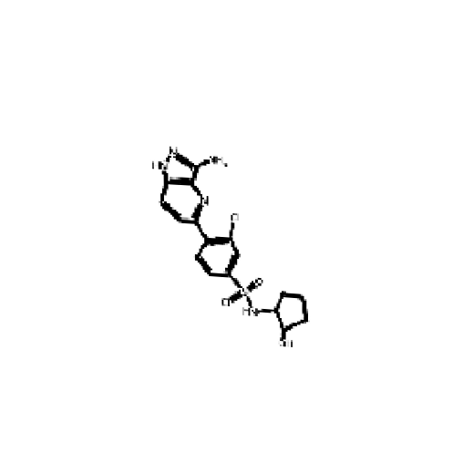 Nc1n[nH]c2ccc(-c3ccc(S(=O)(=O)NC4CCCC4O)cc3Cl)nc12